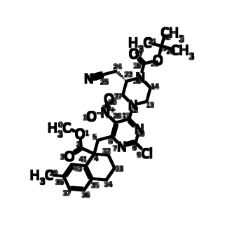 COC(=O)C1(Cc2nc(Cl)nc(N3CCN(C(=O)OC(C)(C)C)[C@@H](CC#N)C3)c2[N+](=O)[O-])CCCc2ccc(C)cc21